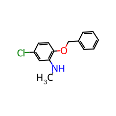 CNc1cc(Cl)ccc1OCc1ccccc1